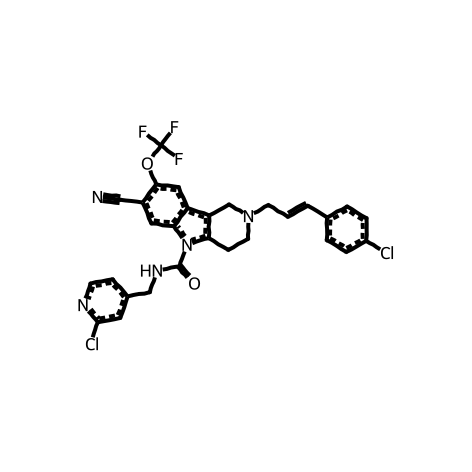 N#Cc1cc2c(cc1OC(F)(F)F)c1c(n2C(=O)NCc2ccnc(Cl)c2)CCN(CC=Cc2ccc(Cl)cc2)C1